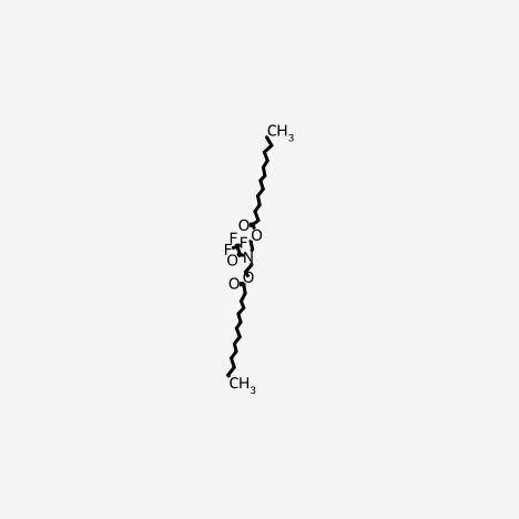 CCCCCCCCCCCCCC(=O)OCCN(CCOC(=O)CCCCCCCCCCCCC)C(=O)C(F)(F)F